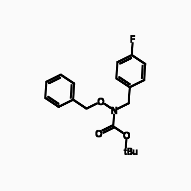 CC(C)(C)OC(=O)N(Cc1ccc(F)cc1)OCc1ccccc1